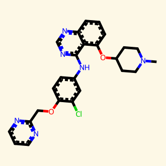 CN1CCC(Oc2cccc3ncnc(Nc4ccc(OCc5ncccn5)c(Cl)c4)c23)CC1